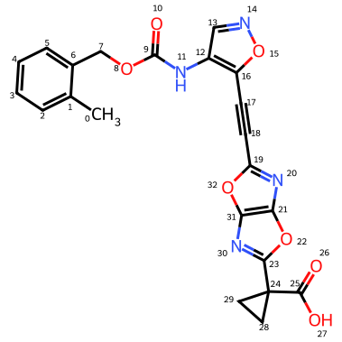 Cc1ccccc1COC(=O)Nc1cnoc1C#Cc1nc2oc(C3(C(=O)O)CC3)nc2o1